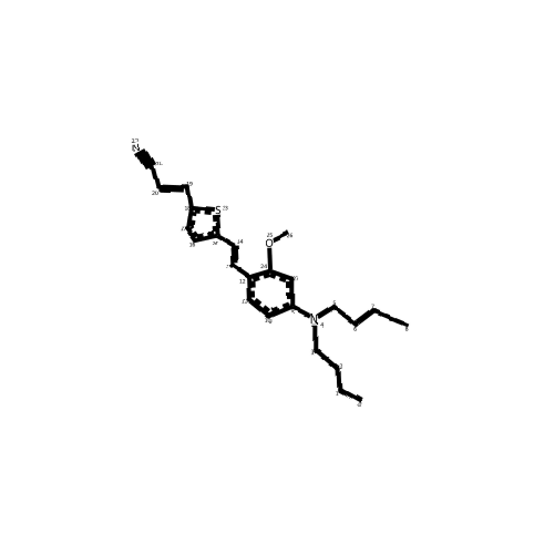 CCCCN(CCCC)c1ccc(/C=C/c2ccc(/C=C/C#N)s2)c(OC)c1